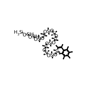 CC(=C(C)[Si](C)(C)O[Si](C)(C)O[Si](C)(C)O[Si](C)(C)O[Si](C)(C)O[Si](C)(C)O[Si](C)(C)O[Si](C)(C)O[Si](C)(C)O[Si](C)(C)O[SiH2]O[SiH2]O[SiH3])c1c(C)c(C)c(C)c(C)c1C